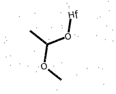 COC(C)[O][Hf]